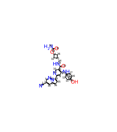 N#Cc1cnn2c(-c3cc(NC45CCC(O)(CC4)CC5)c(C(=O)NC[C@H]4C[C@H](OC(N)=O)C4)cn3)ccc2c1